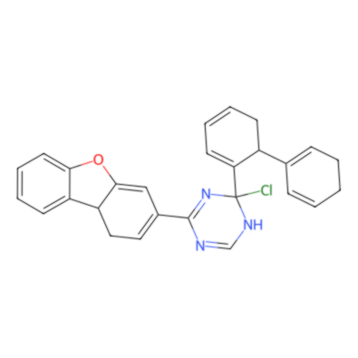 ClC1(C2=CC=CCC2C2=CCCC=C2)N=C(C2=CCC3C(=C2)Oc2ccccc23)N=CN1